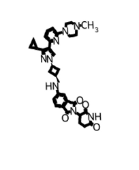 CN1CCN(c2cccc(-c3cn([C@H]4C[C@H](CNc5ccc6c(c5)C(=O)N(C5CCC(=O)NC5=O)C6=O)C4)nc3C3CC3)n2)CC1